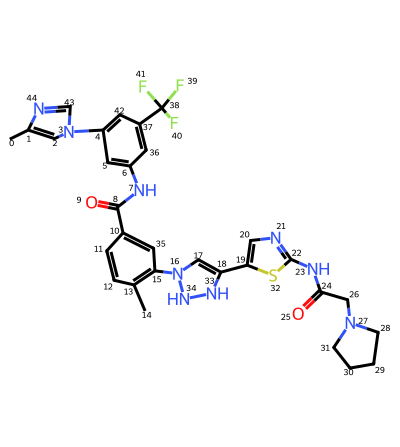 Cc1cn(-c2cc(NC(=O)c3ccc(C)c(N4C=C(c5cnc(NC(=O)CN6CCCC6)s5)NN4)c3)cc(C(F)(F)F)c2)cn1